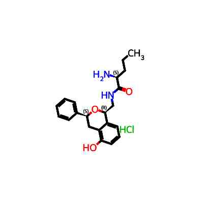 CCC[C@H](N)C(=O)NC[C@@H]1O[C@H](c2ccccc2)Cc2c(O)cccc21.Cl